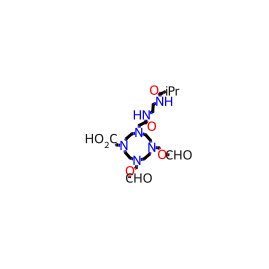 CC(C)C(=O)NCCNC(=O)CN1CCN(COC=O)CCN(COC=O)CCN(CC(=O)O)CC1